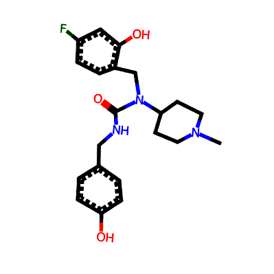 CN1CCC(N(Cc2ccc(F)cc2O)C(=O)NCc2ccc(O)cc2)CC1